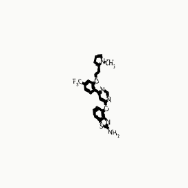 CN1CCCC1CCOc1cc(C(F)(F)F)ccc1-c1cc(Oc2cccc3sc(N)nc23)ncn1